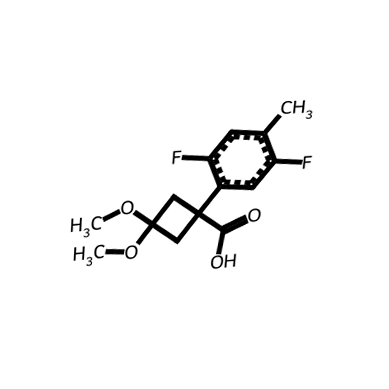 COC1(OC)CC(C(=O)O)(c2cc(F)c(C)cc2F)C1